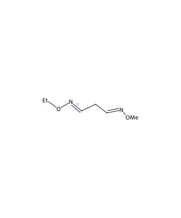 CCO/N=[C]/CC=NOC